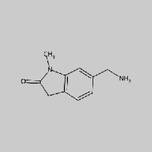 CN1C(=O)Cc2ccc(CN)cc21